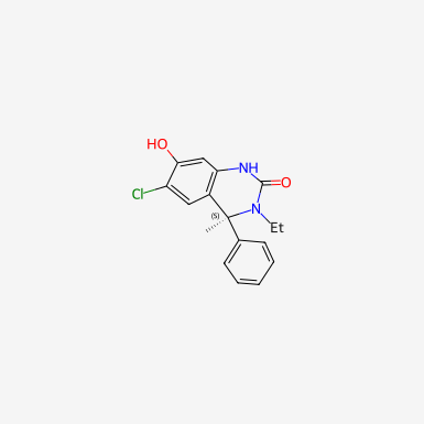 CCN1C(=O)Nc2cc(O)c(Cl)cc2[C@]1(C)c1ccccc1